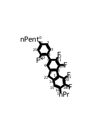 CCCCCc1ccc(-c2cc3c(c(F)c2F)-c2c(cc(CCC)c(F)c2F)C3)c(F)c1